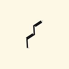 [CH]=C/C=C/[CH2]